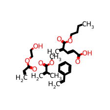 C=C(C)C(=O)OC.C=C(C=CC(=O)O)C(=O)OCCCC.C=CC(=O)OCCO.C=Cc1ccccc1